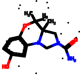 CC1(C)Oc2ccc(O)cc2N2CN(C(N)=O)CC21C